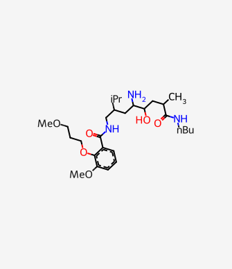 CCCCNC(=O)C(C)CC(O)C(N)CC(CNC(=O)c1cccc(OC)c1OCCCOC)C(C)C